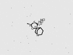 C[C@@H]1O[C@@]2(CS1)CN1CCC2CC1.Cl.Cl.O